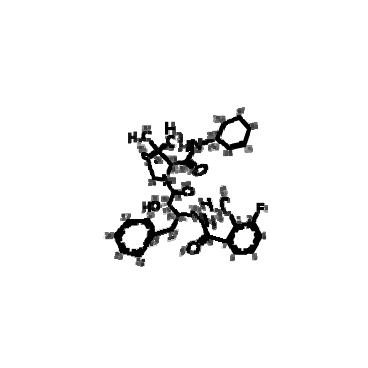 Cc1c(F)cccc1C(=O)N[C@@H](Cc1ccccc1)[C@H](O)C(=O)N1CSC(C)(C)[C@H]1C(=O)N[C@@H]1C=CCCC1